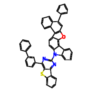 c1ccc(-c2cccc(-c3nc(-n4c5ccccc5c5c6oc7cc(-c8ccccc8)c8ccccc8c7c6ccc54)nc4c3sc3ccccc34)c2)cc1